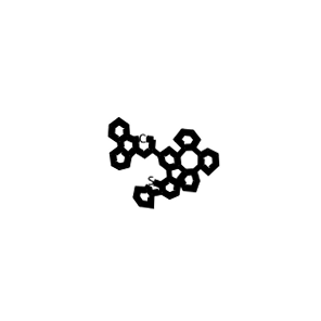 c1ccc2c(c1)-c1ccccc1-c1cc(-c3ccc4c5ccccc5c5ccccc5c4c3)cc(-c3cccc4c3sc3ccccc34)c1-c1ccccc1-2